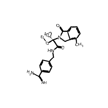 CCO[C@](OC(C)=O)(C(=O)NCc1ccc(C(=N)N)cc1)N1Cc2c(C)cccc2C1=O